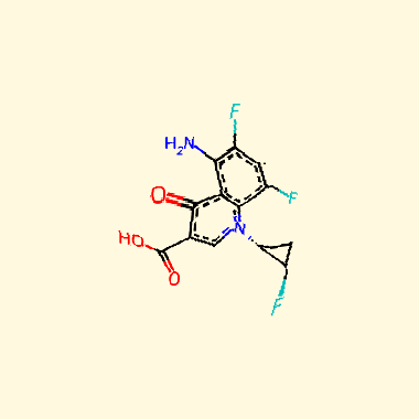 Nc1c(F)[c]c(F)c2c1c(=O)c(C(=O)O)cn2[C@@H]1C[C@H]1F